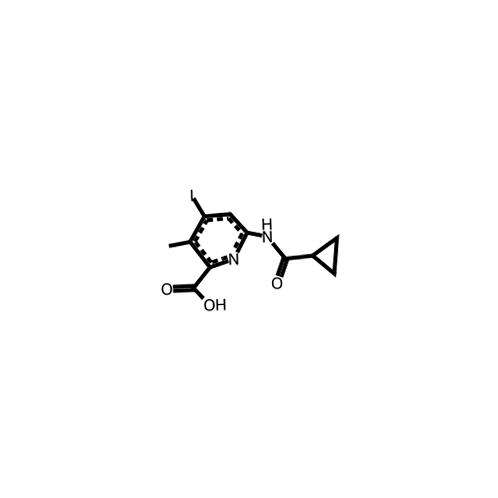 Cc1c(I)cc(NC(=O)C2CC2)nc1C(=O)O